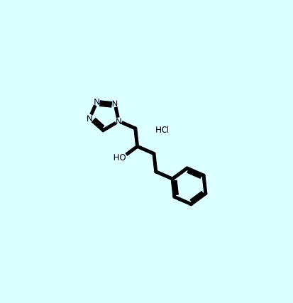 Cl.OC(CCc1ccccc1)Cn1cnnn1